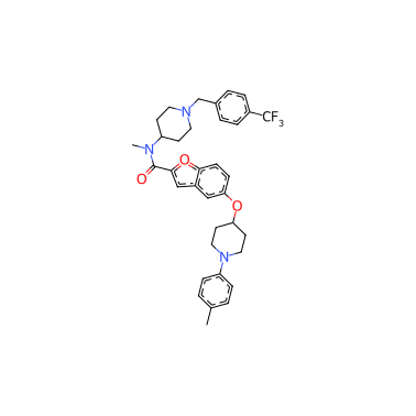 Cc1ccc(N2CCC(Oc3ccc4oc(C(=O)N(C)C5CCN(Cc6ccc(C(F)(F)F)cc6)CC5)cc4c3)CC2)cc1